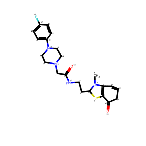 CN1C2=C(SC1CCNC(=O)CN1CCN(c3ccc(F)cc3)CC1)C(=O)CC=C2